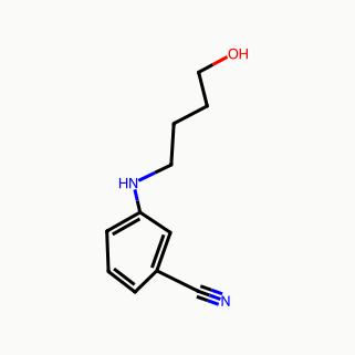 N#Cc1cccc(NCCCCO)c1